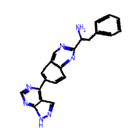 NC(Cc1ccccc1)c1ncc2cc(-c3ncnc4[nH]ncc34)ccc2n1